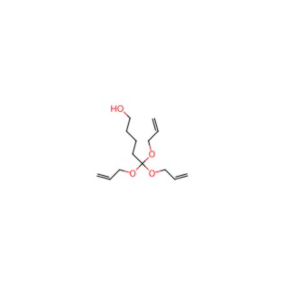 C=CCOC(CCCCO)(OCC=C)OCC=C